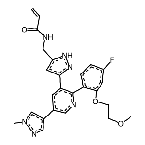 C=CC(=O)NCc1cc(-c2cc(-c3cnn(C)c3)cnc2-c2ccc(F)cc2OCCOC)n[nH]1